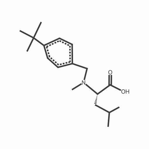 CC(C)C[C@@H](C(=O)O)N(C)Cc1ccc(C(C)(C)C)cc1